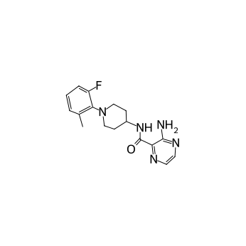 Cc1cccc(F)c1N1CCC(NC(=O)c2nccnc2N)CC1